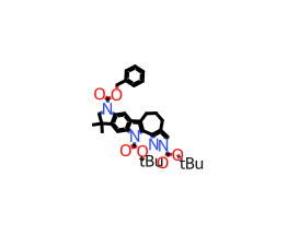 CC(C)(C)OC(=O)n1cc2c(n1)-c1c(c3cc4c(cc3n1C(=O)OC(C)(C)C)C(C)(C)CN4C(=O)OCc1ccccc1)CCC2